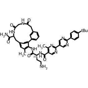 Cc1cc2cc(c1NC(=O)[C@H](CCN)NC(=O)c1cnc(-c3cnc(-c4ccc(C(C)(C)C)cc4)nc3)nc1C)-c1cccc(c1)CC(=O)NCC(=O)NC(C(N)=O)C2